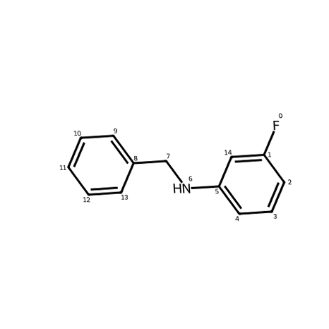 Fc1cccc(NCc2ccccc2)c1